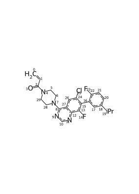 C=CC(=O)N1CCN(c2ncnc3c(F)c(-c4cc(C(C)C)ccc4F)c(Cl)cc23)CC1